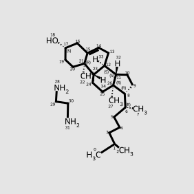 CC(C)CCC[C@@H](C)[C@H]1CC[C@H]2[C@@H]3CC=C4C[C@@H](O)CC[C@]4(C)[C@H]3CC[C@]12C.NCCN